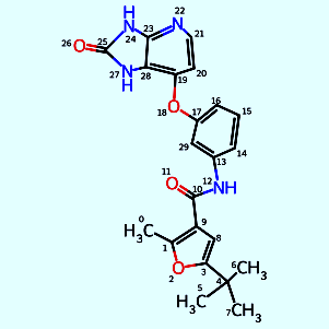 Cc1oc(C(C)(C)C)cc1C(=O)Nc1cccc(Oc2ccnc3[nH]c(=O)[nH]c23)c1